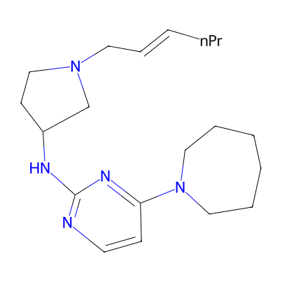 CCC/C=C/CN1CCC(Nc2nccc(N3CCCCCC3)n2)C1